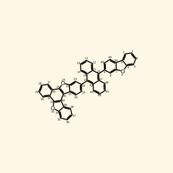 c1ccc2c(c1)oc1cc(-c3c4ccccc4c(-c4ccc5c(c4)oc4c6ccccc6c6oc7ccccc7c6c54)c4ccccc34)ccc12